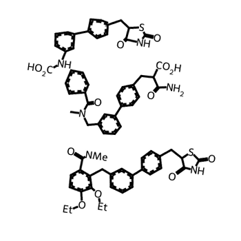 CCOc1ccc(C(=O)NC)c(Cc2cccc(-c3ccc(CC4SC(=O)NC4=O)cc3)c2)c1OCC.CN(Cc1cccc(-c2ccc(CC(C(N)=O)C(=O)O)cc2)c1)C(=O)c1ccccc1.O=C(O)Nc1cccc(-c2ccc(CC3SC(=O)NC3=O)cc2)c1